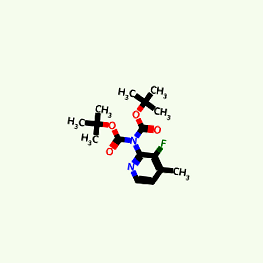 Cc1ccnc(N(C(=O)OC(C)(C)C)C(=O)OC(C)(C)C)c1F